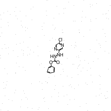 O=C(NNc1cnc(Cl)cn1)Oc1ccccc1